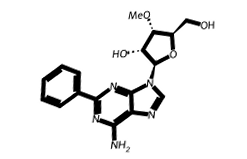 CO[C@H]1[C@@H](O)[C@H](n2cnc3c(N)nc(-c4ccccc4)nc32)O[C@@H]1CO